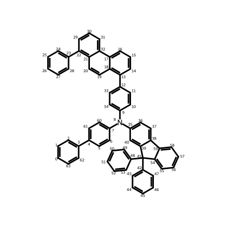 c1ccc(-c2ccc(N(c3ccc(-c4cccc5c4ccc4c(-c6ccccc6)cccc45)cc3)c3ccc4c(c3)C(c3ccccc3)(c3ccccc3)c3ccccc3-4)cc2)cc1